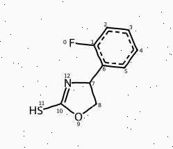 Fc1ccccc1C1COC(S)=N1